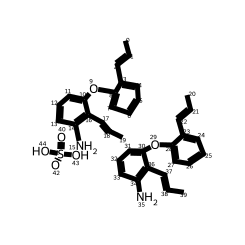 CC=Cc1ccccc1Oc1cccc(N)c1C=CC.CC=Cc1ccccc1Oc1cccc(N)c1C=CC.O=S(=O)(O)O